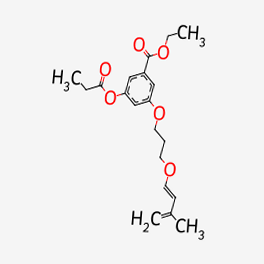 C=C(C)C=COCCCOc1cc(OC(=O)CC)cc(C(=O)OCC)c1